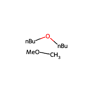 CCCCOCCCC.COC